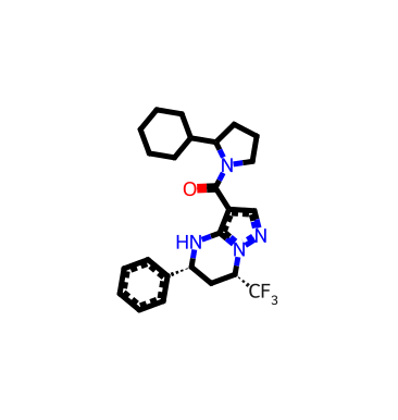 O=C(c1cnn2c1N[C@@H](c1ccccc1)C[C@H]2C(F)(F)F)N1CCCC1C1CCCCC1